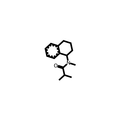 CC(C)C(=O)N(C)C1CCCc2ccccc21